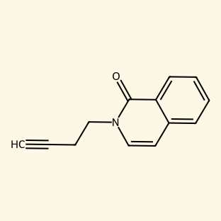 C#CCCn1ccc2ccccc2c1=O